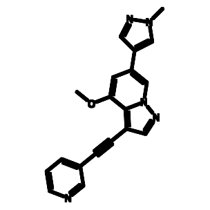 COc1cc(-c2cnn(C)c2)cn2ncc(C#Cc3cccnc3)c12